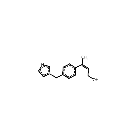 C/C(=C/CO)c1ccc(Cn2ccnc2)cc1